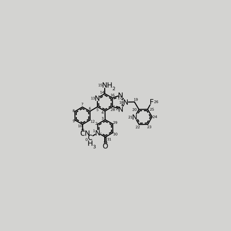 Cn1cc(-c2c(-c3cccc(C#N)c3)nc(N)c3nn(Cc4ncccc4F)nc23)ccc1=O